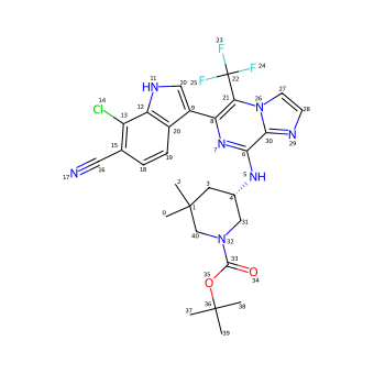 CC1(C)C[C@H](Nc2nc(-c3c[nH]c4c(Cl)c(C#N)ccc34)c(C(F)(F)F)n3ccnc23)CN(C(=O)OC(C)(C)C)C1